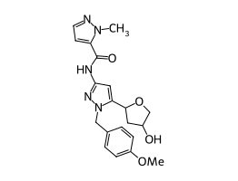 COc1ccc(Cn2nc(NC(=O)c3ccnn3C)cc2C2CC(O)CO2)cc1